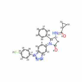 O=C(NC1CC(=O)N(c2ccc3c(c2)nnn3-c2ccc(F)cc2)C1c1ccccc1)C1CC1